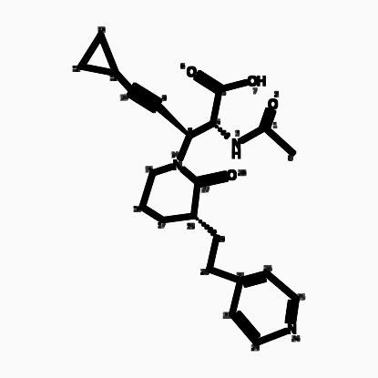 CC(=O)N[C@@H](C(=O)O)[C@H](C#CC1CC1)N1CCC[C@@H](CCc2ccncc2)C1=O